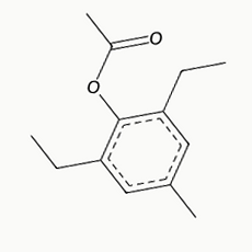 CCc1cc(C)cc(CC)c1OC(C)=O